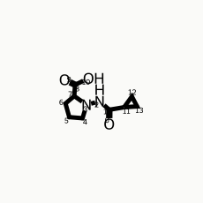 O=C(NN1CCCC1C(=O)O)C1CC1